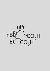 CCCC(CC)CCC(=O)O.CCCCC(CC)CC(=O)O